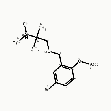 CCCCCCCCOc1ccc(Br)cc1COCC(C)(C)[SiH](C)C